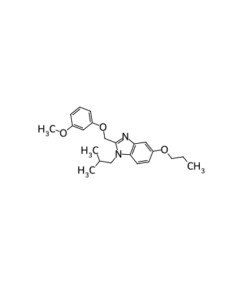 CCCOc1ccc2c(c1)nc(COc1cccc(OC)c1)n2CC(C)C